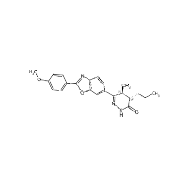 CCC[C@@H]1C(=O)NN=C(c2ccc3nc(-c4ccc(OC)cc4)oc3c2)[C@H]1C